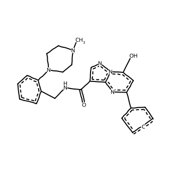 CN1CCN(c2ccccc2CNC(=O)c2cnn3c(O)cc(-c4ccccc4)nc23)CC1